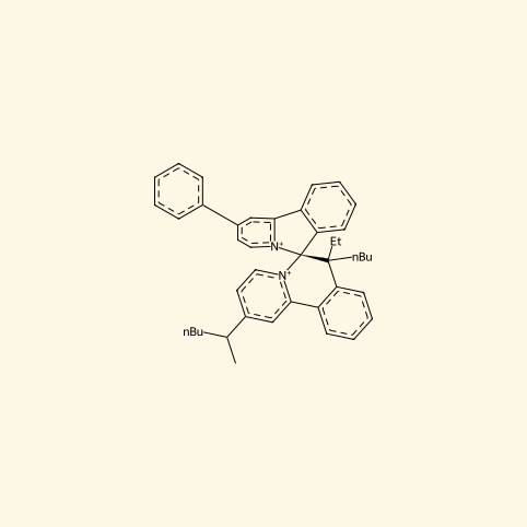 CCCCC(C)c1cc[n+]2c(c1)-c1ccccc1C(CC)(CCCC)[C@@]21c2ccccc2-c2cc(-c3ccccc3)cc[n+]21